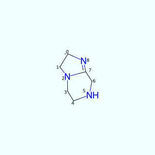 [CH]1CN2CCNCC2=N1